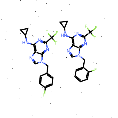 Fc1ccc(Cn2cnc3c(NC4CC4)nc(C(F)(F)F)nc32)cc1.Fc1ccccc1Cn1cnc2c(NC3CC3)nc(C(F)(F)F)nc21